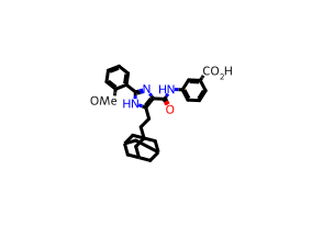 COc1ccccc1-c1nc(C(=O)Nc2cccc(C(=O)O)c2)c(CCC23CC4CC(CC(C4)C2)C3)[nH]1